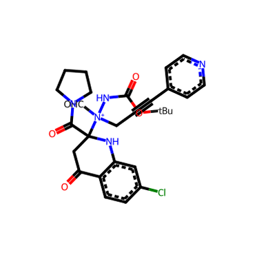 CC(C)(C)OC(=O)N[N+](C=O)(CC#Cc1ccncc1)C1(C(=O)N2CCCC2)CC(=O)c2ccc(Cl)cc2N1